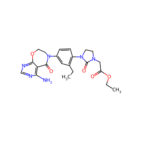 CCOC(=O)CN1CCN(c2ccc(N3CCOc4ncnc(N)c4C3=O)cc2CC)C1=O